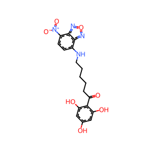 O=C(CCCCCNc1ccc([N+](=O)[O-])c2nonc12)c1c(O)cc(O)cc1O